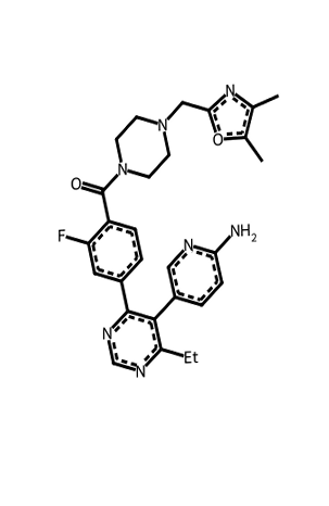 CCc1ncnc(-c2ccc(C(=O)N3CCN(Cc4nc(C)c(C)o4)CC3)c(F)c2)c1-c1ccc(N)nc1